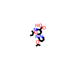 CCC(C)Oc1nc2c(OC(C)C)cccn2c1C=C(C#N)C(=O)O